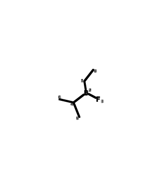 CCB(F)C(C)C